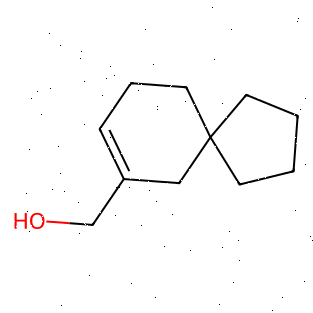 OCC1=CCCC2(CCCC2)C1